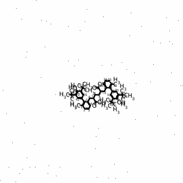 Cc1cccc(CC(CCC(Cc2cccc(C)c2-c2cc(C(C)(C)C)c(O)c(C(C)(C)C)c2)C(=O)O)C(=O)O)c1-c1cc(C(C)(C)C)c(O)c(C(C)(C)C)c1